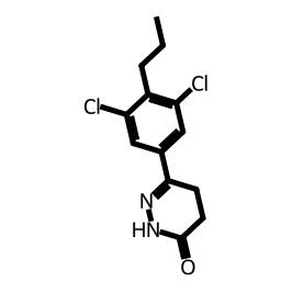 CCCc1c(Cl)cc(C2=NNC(=O)CC2)cc1Cl